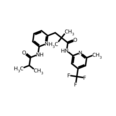 Cc1cc(C(F)(F)F)cc(NC(=O)C(C)(C)Cc2cccc(NC(=O)C(C)C)n2)n1